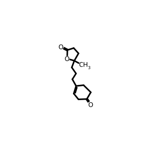 CC1(CCCC2=CCC(=O)CC2)CCC(=O)O1